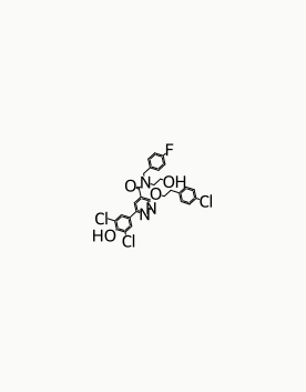 O=C(c1cc(-c2cc(Cl)c(O)c(Cl)c2)nnc1OCCc1ccc(Cl)cc1)N(CCO)Cc1ccc(F)cc1